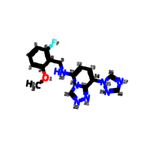 COc1cccc(F)c1CNc1ccc(-n2cncn2)c2nncn12